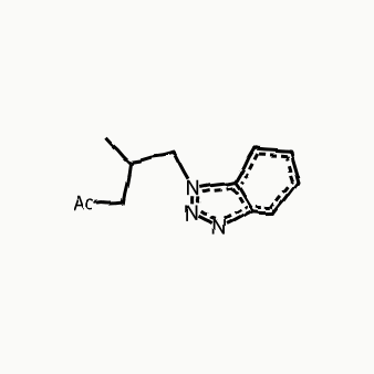 CC(=O)CC(C)Cn1nnc2ccccc21